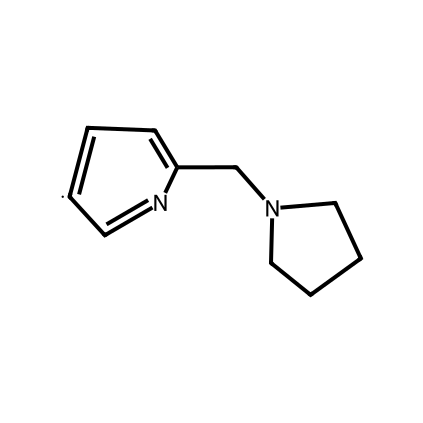 [c]1ccc(CN2CCCC2)nc1